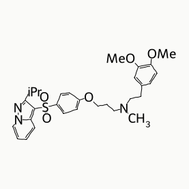 COc1ccc(CCN(C)CCCOc2ccc(S(=O)(=O)c3c(C(C)C)nn4ccccc34)cc2)cc1OC